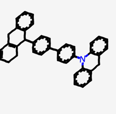 C1=CC2=C(CC1)C(c1ccc(-c3ccc(N4c5ccccc5Cc5ccccc54)cc3)cc1)c1ccccc1C2